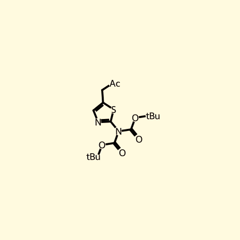 CC(=O)Cc1cnc(N(C(=O)OC(C)(C)C)C(=O)OC(C)(C)C)s1